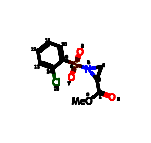 COC(=O)C1CN1S(=O)(=O)c1ccccc1Cl